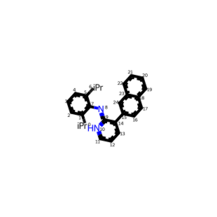 CC(C)c1cccc(C(C)C)c1N=c1[nH]cccc1-c1ccc2ccccc2c1